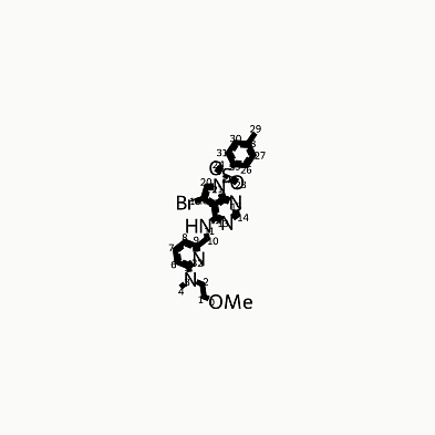 COCCN(C)c1cccc(CNc2ncnc3c2c(Br)cn3S(=O)(=O)c2ccc(C)cc2)n1